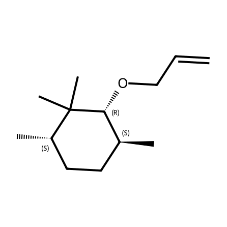 C=CCO[C@@H]1[C@@H](C)CC[C@H](C)C1(C)C